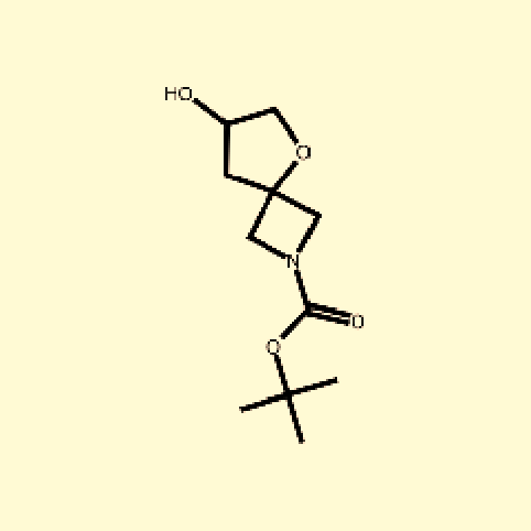 CC(C)(C)OC(=O)N1CC2(CC(O)CO2)C1